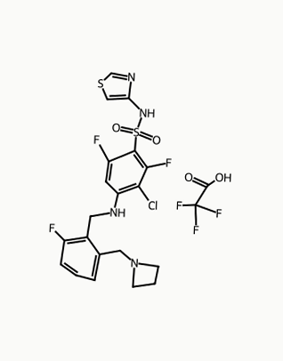 O=C(O)C(F)(F)F.O=S(=O)(Nc1cscn1)c1c(F)cc(NCc2c(F)cccc2CN2CCC2)c(Cl)c1F